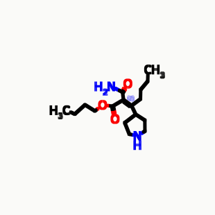 CCCCOC(=O)/C(C(N)=O)=C(/CCCC)C1CCNCC1